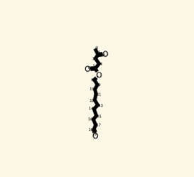 CC(=O)CCC(=O)OCCCCCCCCCCC=O